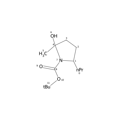 CCCC1CCC(C)(O)N1C(=O)OC(C)(C)C